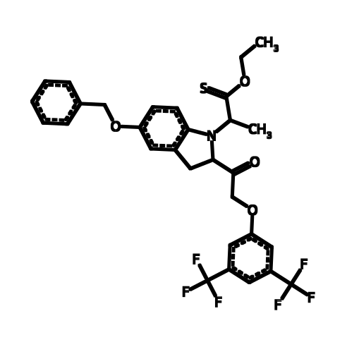 CCOC(=S)C(C)N1c2ccc(OCc3ccccc3)cc2CC1C(=O)COc1cc(C(F)(F)F)cc(C(F)(F)F)c1